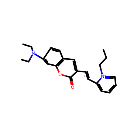 CCC[n+]1ccccc1/C=C/c1cc2ccc(N(CC)CC)cc2oc1=O